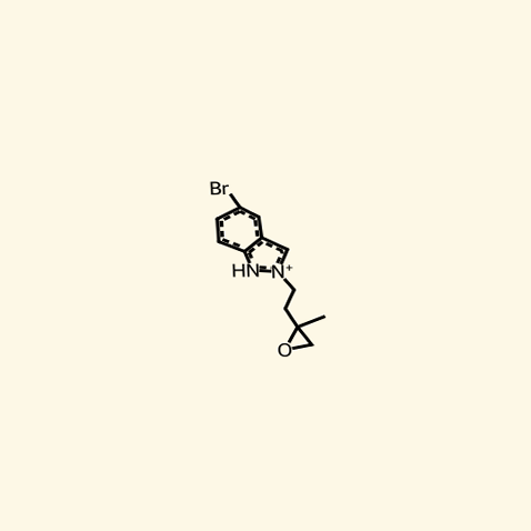 CC1(CC[n+]2cc3cc(Br)ccc3[nH]2)CO1